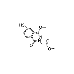 COC(=O)Cn1nc(OC)c2cc(S)ccc2c1=O